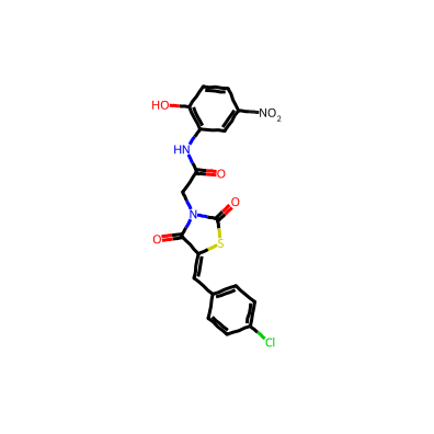 O=C(CN1C(=O)SC(=Cc2ccc(Cl)cc2)C1=O)Nc1cc([N+](=O)[O-])ccc1O